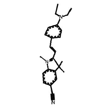 CCN(CC)c1ccc(/C=C/C2=[N+](C)c3ccc(C#N)cc3C2(C)C)cc1